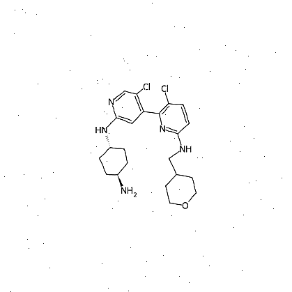 N[C@H]1CC[C@H](Nc2cc(-c3nc(NCC4CCOCC4)ccc3Cl)c(Cl)cn2)CC1